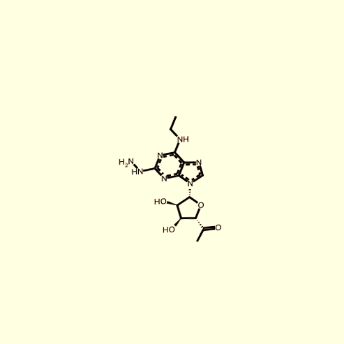 CCNc1nc(NN)nc2c1ncn2[C@@H]1O[C@H](C(C)=O)[C@@H](O)[C@H]1O